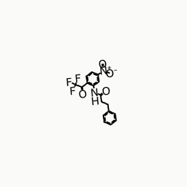 O=C(CCc1ccccc1)Nc1cc([N+](=O)[O-])ccc1C(=O)C(F)(F)F